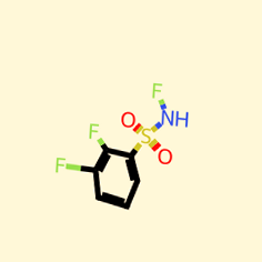 O=S(=O)(NF)c1cccc(F)c1F